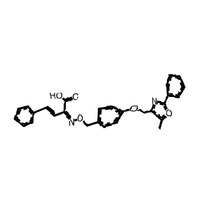 Cc1oc(-c2ccccc2)nc1COc1ccc(CON=C(C=Cc2ccccc2)C(=O)O)cc1